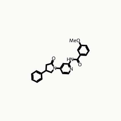 COc1cccc(C(=O)Nc2cc(N3CC(c4ccccc4)CC3=O)ccn2)c1